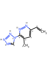 C=Cc1cc(C)c(-n2cnnn2)nn1